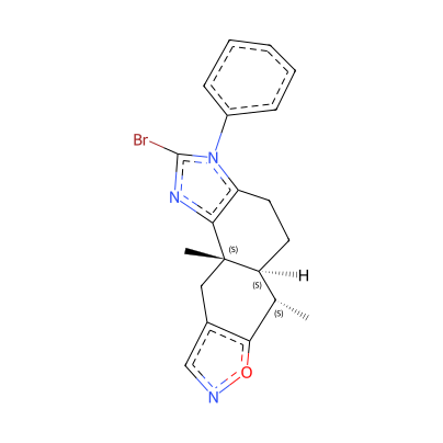 C[C@@H]1c2oncc2C[C@]2(C)c3nc(Br)n(-c4ccccc4)c3CC[C@@H]12